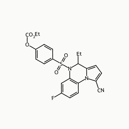 CCOC(=O)Oc1ccc(S(=O)(=O)N2c3cc(F)ccc3-n3c(C#N)ccc3C2CC)cc1